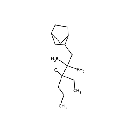 BC(B)(CC1CC2CCC1C2)C(C)(CC)CCC